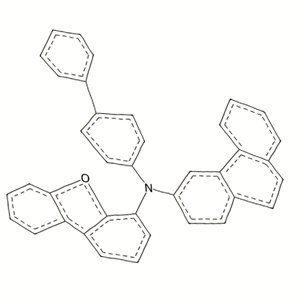 c1ccc(-c2ccc(N(c3ccc4ccc5ccccc5c4c3)c3cccc4c3oc3ccccc34)cc2)cc1